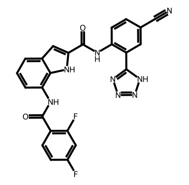 N#Cc1ccc(NC(=O)c2cc3cccc(NC(=O)c4ccc(F)cc4F)c3[nH]2)c(-c2nnn[nH]2)c1